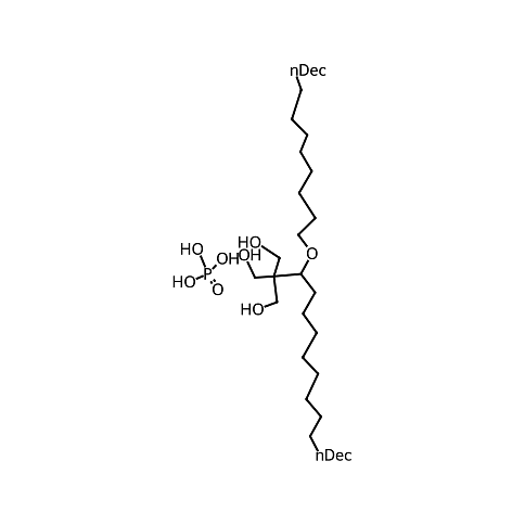 CCCCCCCCCCCCCCCCCCOC(CCCCCCCCCCCCCCCCCC)C(CO)(CO)CO.O=P(O)(O)O